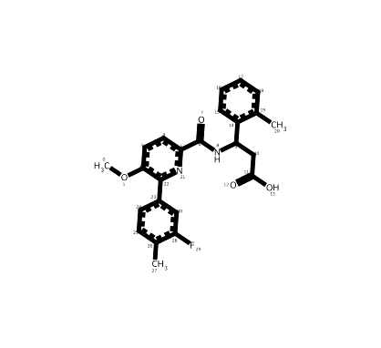 COc1ccc(C(=O)NC(CC(=O)O)c2ccccc2C)nc1-c1ccc(C)c(F)c1